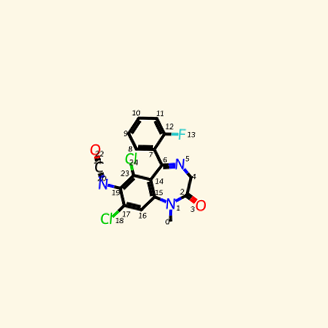 CN1C(=O)CN=C(c2ccccc2F)c2c1cc(Cl)c(N=C=O)c2Cl